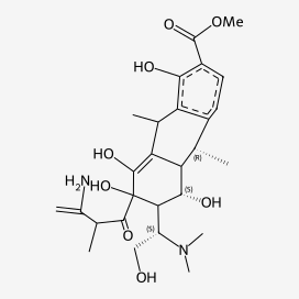 C=C(N)C(C)C(=O)C1(O)C(O)=C2C(C)c3c(ccc(C(=O)OC)c3O)[C@H](C)C2[C@H](O)C1[C@@H](CO)N(C)C